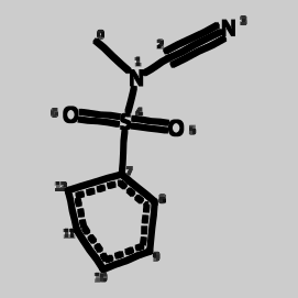 CN(C#N)S(=O)(=O)c1ccccc1